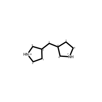 C1CC(CC2CCNC2)CN1